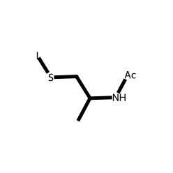 CC(=O)NC(C)CSI